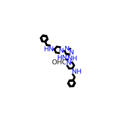 O=CC1(N2CCC(NCCc3ccccc3)CC2)Nc2ncnc(N3CCC(NCCc4ccccc4)CC3)c2N1